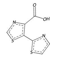 O=C(O)c1ncsc1-c1nccs1